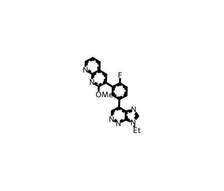 CCn1cnc2c(-c3ccc(F)c(-c4cc5cccnc5nc4OC)c3)cnnc21